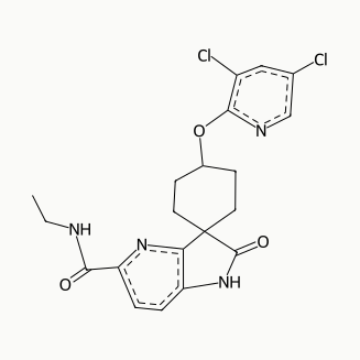 CCNC(=O)c1ccc2c(n1)C1(CCC(Oc3ncc(Cl)cc3Cl)CC1)C(=O)N2